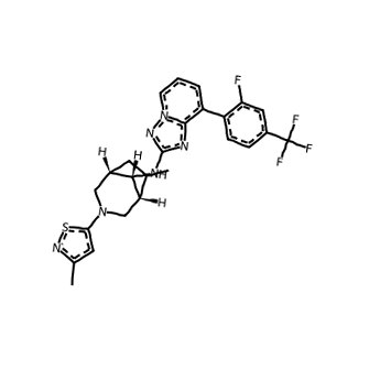 Cc1cc(N2C[C@@H]3CC(C)[C@H](C2)[C@H]3Nc2nc3c(-c4ccc(C(F)(F)F)cc4F)cccn3n2)sn1